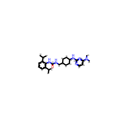 CC(C)c1cccc(C(C)C)c1NC(=O)NCC1CCC(Nc2nccc(N(C)C)n2)CC1